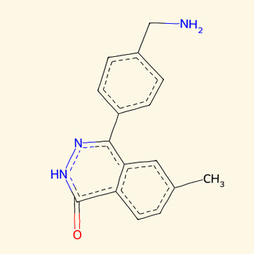 Cc1ccc2c(=O)[nH]nc(-c3ccc(CN)cc3)c2c1